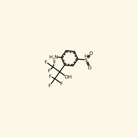 Nc1ccc([SH](=O)=O)cc1C(O)(C(F)(F)F)C(F)(F)F